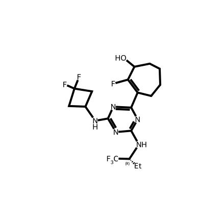 CC[C@@H](Nc1nc(NC2CC(F)(F)C2)nc(C2=C(F)C(O)CCCC2)n1)C(F)(F)F